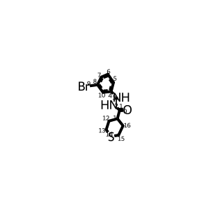 O=C(NNc1cccc(Br)c1)C1CCSCC1